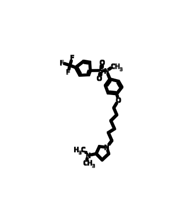 CN(C)C1CCN(CCCCCCOc2ccc(N(C)S(=O)(=O)c3ccc(C(F)(F)F)cc3)cc2)C1